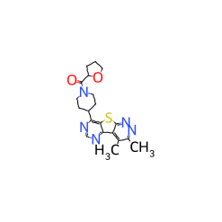 Cc1nnc2sc3c(C4CCN(C(=O)C5CCCO5)CC4)ncnc3c2c1C